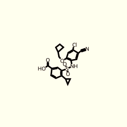 N#Cc1cc(NS(=O)(=O)c2cc(C(=O)O)ccc2C2CC2)c(OCC2CCC2)cc1Cl